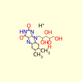 Cc1cc2nc3c(=O)[nH]c(=O)nc-3n(C[C@H](O)[C@H](O)[C@H](O)CO)c2cc1C.[H+]